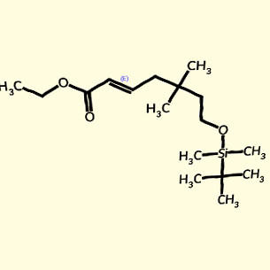 CCOC(=O)/C=C/CC(C)(C)CCO[Si](C)(C)C(C)(C)C